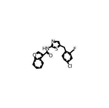 O=C(Nc1ncc(Cc2ccc(Cl)cc2F)s1)c1coc2ccccc12